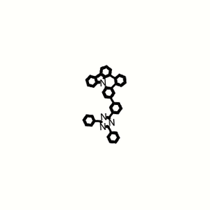 c1ccc(-c2nc(-c3ccccc3)nc(-c3cccc(-c4ccc5c(c4)-c4ccccc4-c4cccc6c7ccccc7n-5c46)c3)n2)cc1